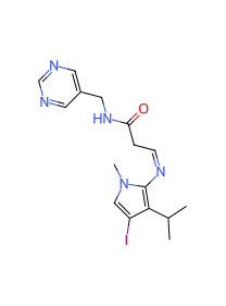 CC(C)c1c(I)cn(C)c1/N=C\CC(=O)NCc1cncnc1